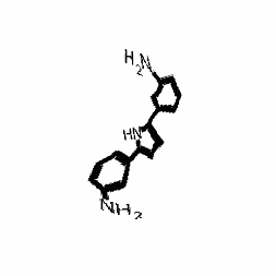 Nc1cccc(-c2ccc(-c3cccc(N)c3)[nH]2)c1